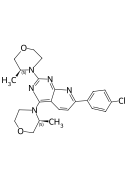 C[C@H]1COCCN1c1nc(N2CCOC[C@@H]2C)c2ccc(-c3ccc(Cl)cc3)nc2n1